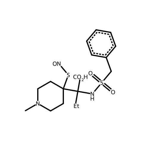 CCC(NS(=O)(=O)Cc1ccccc1)(C(=O)O)C1(SN=O)CCN(C)CC1